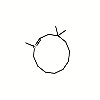 C/[N+]1=C/CC(C)(C)CCCCCCCC1